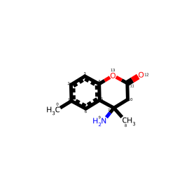 Cc1ccc2c(c1)C(C)(N)CC(=O)O2